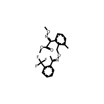 CO/N=C(/C(=O)OC)c1cccc(C)c1CO/N=C(\C)c1ccccc1C(F)(F)F